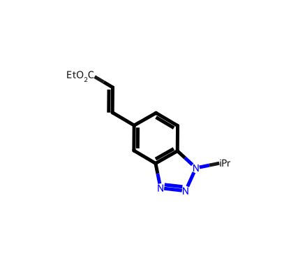 CCOC(=O)/C=C/c1ccc2c(c1)nnn2C(C)C